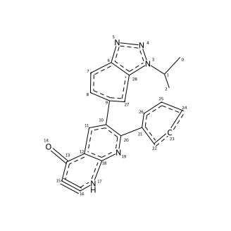 CC(C)n1nnc2ccc(-c3cc4c(=O)c#c[nH]c4nc3-c3ccccc3)cc21